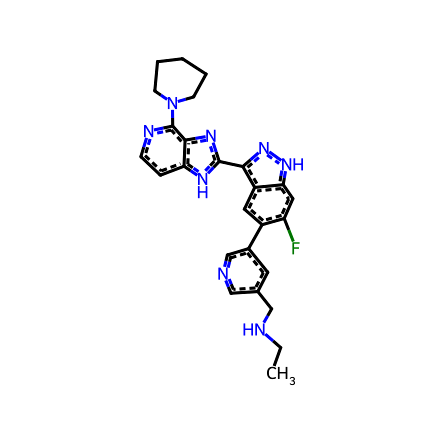 CCNCc1cncc(-c2cc3c(-c4nc5c(N6CCCCC6)nccc5[nH]4)n[nH]c3cc2F)c1